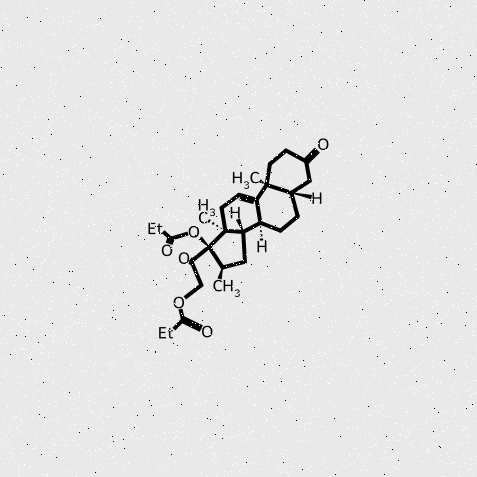 CCC(=O)OCC(=O)[C@@]1(OC(=O)CC)[C@H](C)C[C@H]2[C@@H]3CC[C@H]4CC(=O)CC[C@]4(C)C3=CC[C@@]21C